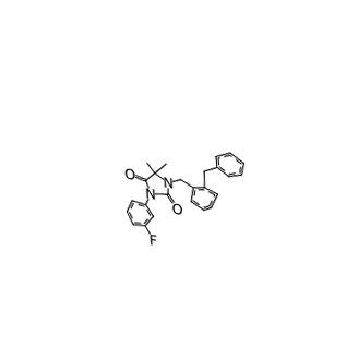 CC1(C)C(=O)N(c2cccc(F)c2)C(=O)N1Cc1ccccc1Cc1ccccc1